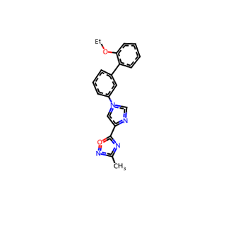 CCOc1ccccc1-c1cccc(-n2cnc(-c3nc(C)no3)c2)c1